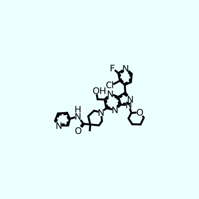 CC1(C(=O)Nc2cccnc2)CCN(c2nc3c(nc2CO)c(-c2ccnc(F)c2Cl)nn3C2CCCCO2)CC1